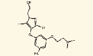 CCc1nn(CCO)c(CC)c1Oc1cc(C#N)cc(OCCN(C)C)c1